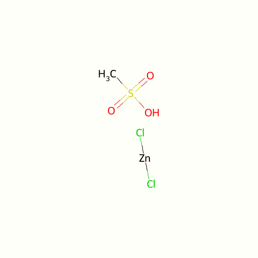 CS(=O)(=O)O.[Cl][Zn][Cl]